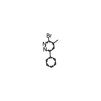 Cc1cc(-c2ccccc2)nnc1Br